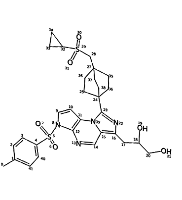 Cc1ccc(S(=O)(=O)n2ccc3c2ncc2c(CC(O)CO)nc(C45CCC(CS(=O)(=O)C6CC6)(CC4)CC5)n23)cc1